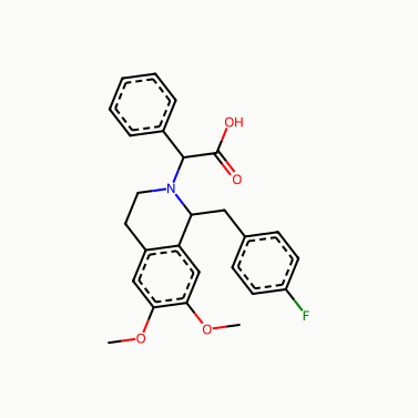 COc1cc2c(cc1OC)C(Cc1ccc(F)cc1)N(C(C(=O)O)c1ccccc1)CC2